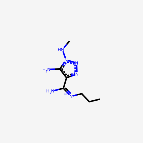 CCC/N=C(/N)c1nnn(NC)c1N